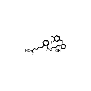 Cc1ccc(C[C@@H]2CCCN2C[C@@H](O)CO[C@H](C)c2ccccc2CCCCC(=O)O)cc1F